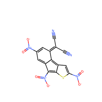 N#CC(C#N)=c1cc([N+](=O)[O-])cc2c1=c1cc([N+](=O)[O-])sc1=C2[N+](=O)[O-]